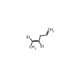 C=CC/C(CC)=C(/C)CC